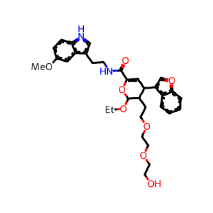 CCOC1OC(C(=O)NCCc2c[nH]c3ccc(OC)cc23)=CC(c2coc3ccccc23)C1CCOCCOCCO